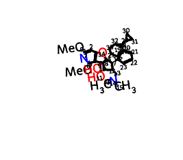 COc1cc2c(c(OC)n1)[C@]1(O)[C@H](O)[C@H](CN(C)C)[C@@H](c3ccccc3)[C@]1(C1C=CC(C3CC3)=CC1)O2